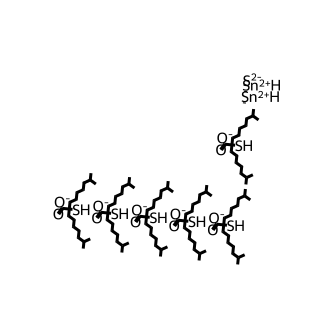 CC(C)CCCCCC(S)(CCCCCC(C)C)C(=O)[O-].CC(C)CCCCCC(S)(CCCCCC(C)C)C(=O)[O-].CC(C)CCCCCC(S)(CCCCCC(C)C)C(=O)[O-].CC(C)CCCCCC(S)(CCCCCC(C)C)C(=O)[O-].CC(C)CCCCCC(S)(CCCCCC(C)C)C(=O)[O-].CC(C)CCCCCC(S)(CCCCCC(C)C)C(=O)[O-].[CH3][SnH+2].[CH3][SnH+2].[S-2]